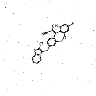 CC(C#N)=C1c2ccc(Cc3c(Cl)nc4ccccn34)cc2COc2cc(F)ccc21